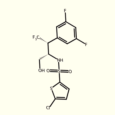 O=S(=O)(N[C@H](CO)[C@@H](c1cc(F)cc(F)c1)C(F)(F)F)c1ccc(Cl)s1